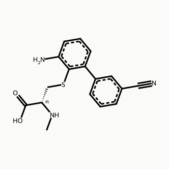 CN[C@@H](CSc1c(N)cccc1-c1cccc(C#N)c1)C(=O)O